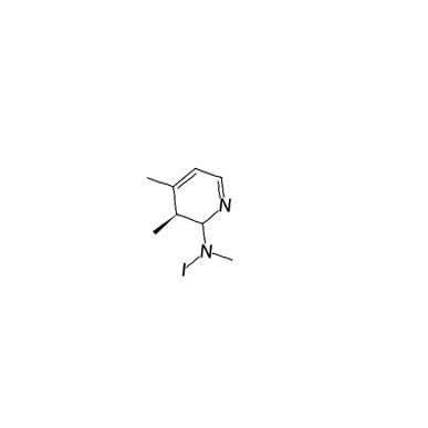 CC1=CC=NC(N(C)I)[C@H]1C